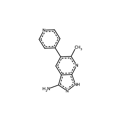 Cc1nc2[nH]nc(N)c2cc1-c1ccncc1